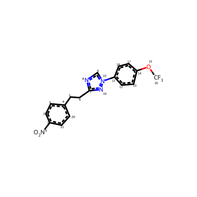 O=[N+]([O-])c1ccc(CCc2ncn(-c3ccc(OC(F)(F)F)cc3)n2)cc1